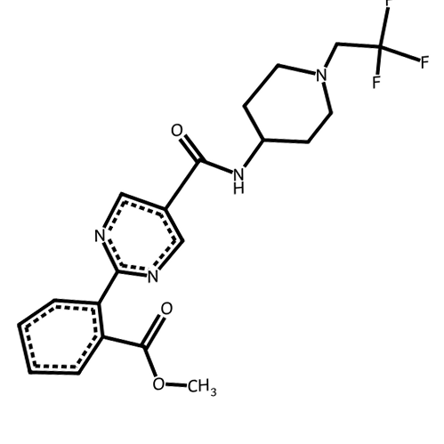 COC(=O)c1ccccc1-c1ncc(C(=O)NC2CCN(CC(F)(F)F)CC2)cn1